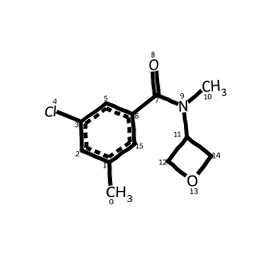 Cc1cc(Cl)cc(C(=O)N(C)C2COC2)c1